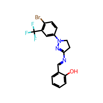 Oc1ccccc1C=NC1=NN(c2ccc(Br)c(C(F)(F)F)c2)CC1